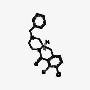 O=C1c2c(ccc(Cl)c2Cl)C[C@@H]2CN(Cc3ccccc3)CCN12